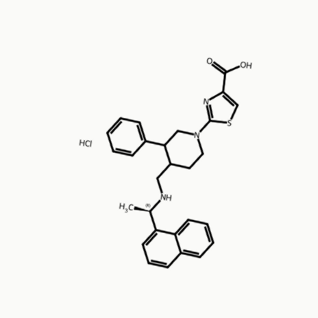 C[C@@H](NCC1CCN(c2nc(C(=O)O)cs2)CC1c1ccccc1)c1cccc2ccccc12.Cl